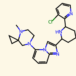 CN1CCN(c2cccc3nc(C4CCCC(c5ncccc5Cl)N4)cn23)CC12CC2